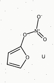 O=[N+]([O-])Oc1ccco1.[U]